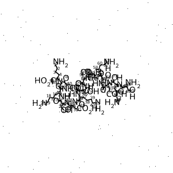 NCCCC[C@H](NC(=O)[C@H](CC(=O)O)NC(=O)[C@H](CCCCN)NC(=O)[C@H](CO)NC(=O)[C@H](CC(=O)O)NC(=O)[C@H](CCCCN)NC(=O)[C@H](CO)NC(=O)[C@H](CC(=O)O)NC(=O)[C@H](CCCCN)NC(=O)[C@H](CO)NC(=O)[C@H](CC(=O)O)NC(=O)[C@H](CCCCN)NC(=O)[C@@H](N)CO)C(=O)O